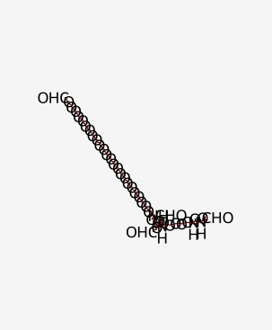 O=C/C=C\C(=O)NCCC(=O)NCCOCCOCCOCCOCCC(=O)NC(COCCC=O)(COCCC=O)COCCC(=O)NCCOCCOCCOCCOCCOCCOCCOCCOCCOCCOCCOCCOCCOCCOCCOCCOCCOCCOCCOCCOCCOCCOCCOCCOCCC=O